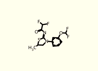 CC1CN(c2cccc(OC(F)F)c2)C(=NC(=O)C(F)F)S1